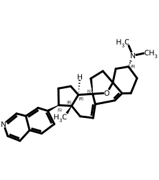 CN(C)[C@@H]1CCC2=CC3=CC[C@]4(C)[C@@H](c5ccc6ccncc6c5)CC[C@H]4[C@@]34CCC2(C1)O4